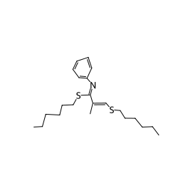 CCCCCCSC=C(C)C(=Nc1ccccc1)SCCCCCC